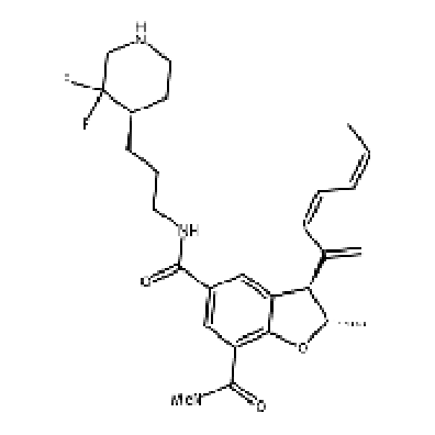 C=C(/C=C\C=C/C)[C@@H]1c2cc(C(=O)NCCC[C@@H]3CCNCC3(F)F)cc(C(=O)NC)c2O[C@H]1C